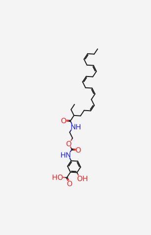 CC/C=C\C/C=C\C/C=C\C/C=C\C/C=C\CCC(CC)C(=O)NCCOC(=O)Nc1ccc(O)c(C(=O)O)c1